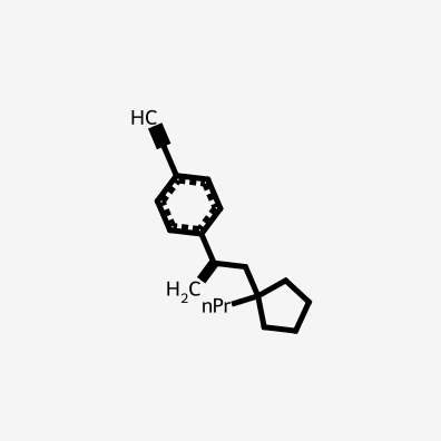 C#Cc1ccc(C(=C)CC2(CCC)CCCC2)cc1